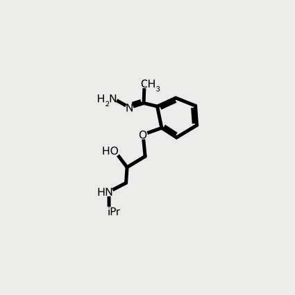 CC(=NN)c1ccccc1OCC(O)CNC(C)C